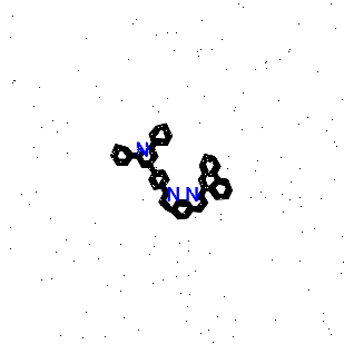 c1ccc(-c2cc(-c3ccc(-c4ccc5ccc6ccc(-c7cc8ccccc8c8ccccc78)nc6c5n4)cc3)cc(-c3ccccc3)n2)cc1